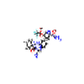 N#CC(Cc1ccc(-c2cc(C(N)=O)ncc2OC(=O)C(F)(F)F)cc1)NC(=O)C1(N)CCCCC1